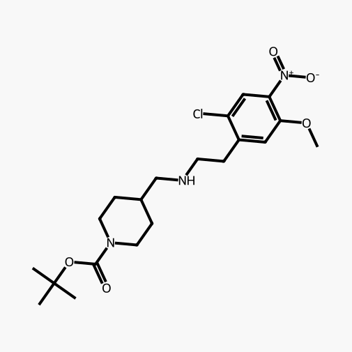 COc1cc(CCNCC2CCN(C(=O)OC(C)(C)C)CC2)c(Cl)cc1[N+](=O)[O-]